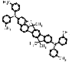 Cc1cccc(N(c2cccc(C)c2)c2ccc3c(c2)C(C)(C)c2cc4c(cc2-3)C(C)(C)c2c-4ccc3cc(N(c4cccc(C)c4)c4cccc(C)c4)ccc23)c1